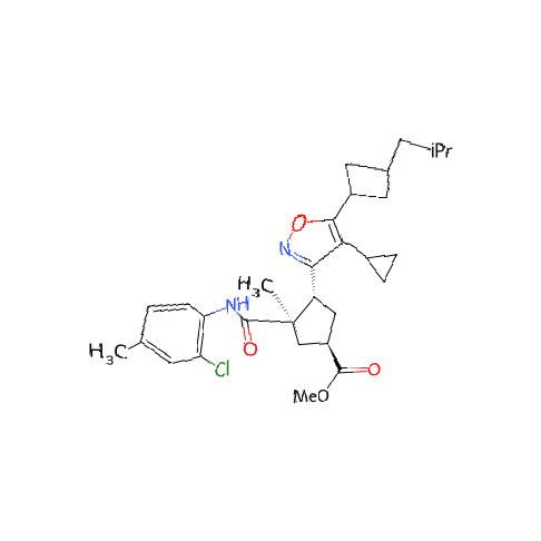 COC(=O)[C@@H]1C[C@@H](c2noc(C3CC(CC(C)C)C3)c2C2CC2)[C@](C)(C(=O)Nc2ccc(C)cc2Cl)C1